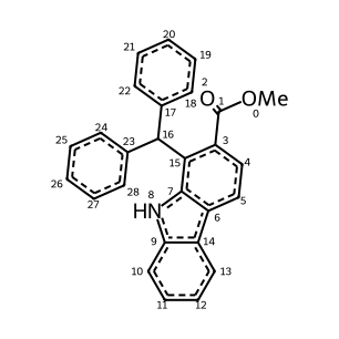 COC(=O)c1ccc2c([nH]c3ccccc32)c1C(c1ccccc1)c1ccccc1